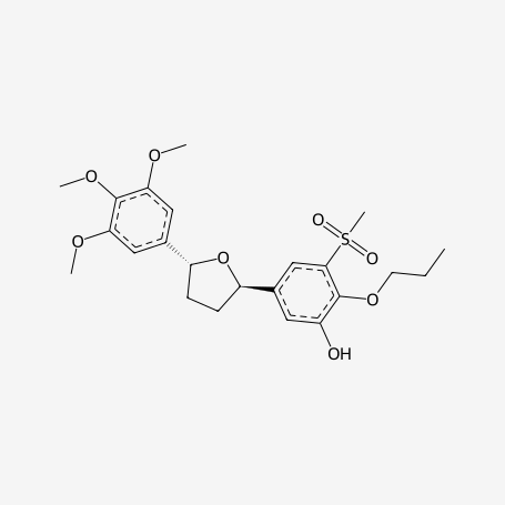 CCCOc1c(O)cc([C@H]2CC[C@H](c3cc(OC)c(OC)c(OC)c3)O2)cc1S(C)(=O)=O